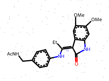 CC/C(Nc1ccc(CNC(C)=O)cc1)=C1/C(=O)Nc2cc(OC)c(OC)cc21